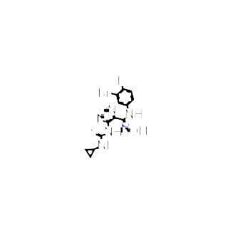 O/N=C(\Nc1ccc(F)c(Br)c1)c1nonc1NC(=S)NC1CC1